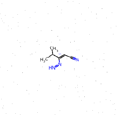 CC(C)/C(=C/C#N)N=N